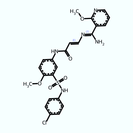 COc1ccc(NC(=O)/C=C/N=C(\N)c2cccnc2OC)cc1S(=O)(=O)Nc1ccc(Cl)cc1